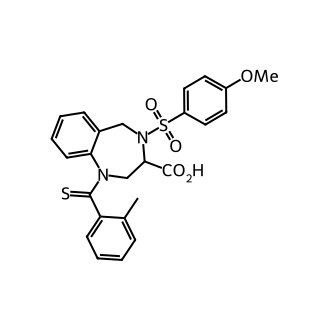 COc1ccc(S(=O)(=O)N2Cc3ccccc3N(C(=S)c3ccccc3C)CC2C(=O)O)cc1